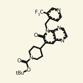 CC(C)(C)OC(=O)N1CCC(c2cc3nccnc3n(Cc3ccncc3C(F)(F)F)c2=O)CC1